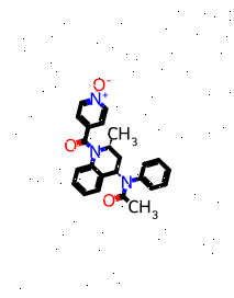 CC(=O)N(c1ccccc1)[C@H]1C[C@@H](C)N(C(=O)c2cc[n+]([O-])cc2)c2ccccc21